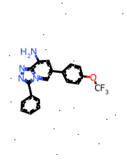 Nc1cc(-c2ccc(OC(F)(F)F)cc2)cn2c(-c3ccccc3)nnc12